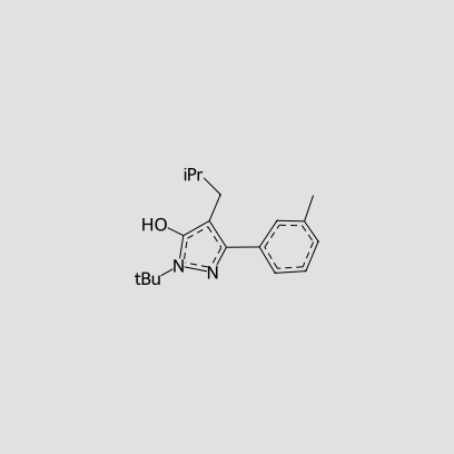 Cc1cccc(-c2nn(C(C)(C)C)c(O)c2CC(C)C)c1